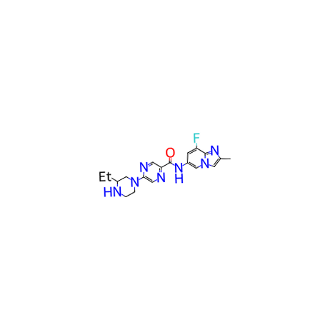 CCC1CN(c2cnc(C(=O)Nc3cc(F)c4nc(C)cn4c3)cn2)CCN1